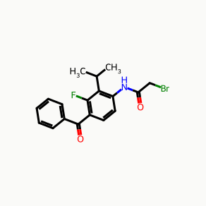 CC(C)c1c(NC(=O)CBr)ccc(C(=O)c2ccccc2)c1F